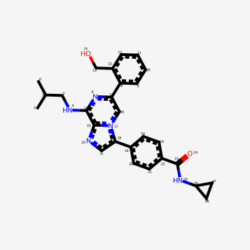 CC(C)CNc1nc(-c2ccccc2CO)cn2c(-c3ccc(C(=O)NC4CC4)cc3)cnc12